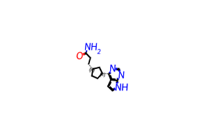 NC(=O)CC[C@H]1CC[C@@H](c2ncnc3[nH]ccc23)C1